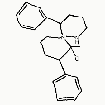 CC1(Cl)C(c2ccccc2)CCC[N+]12NCCCC2c1ccccc1